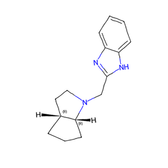 c1ccc2[nH]c(CN3CC[C@H]4CCC[C@H]43)nc2c1